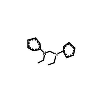 CCN(CN(CC)c1ccccc1)c1ccccc1